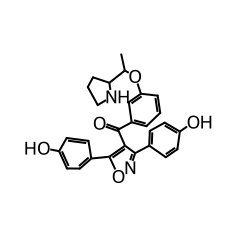 CC(Oc1cccc(C(=O)c2c(-c3ccc(O)cc3)noc2-c2ccc(O)cc2)c1)C1CCCN1